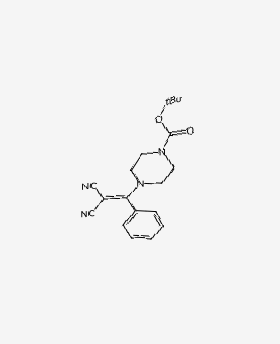 CC(C)(C)OC(=O)N1CCN(C(=C(C#N)C#N)c2ccccc2)CC1